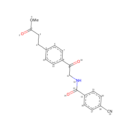 COC(=O)CCc1ccc(C(=O)CNC(=O)c2ccc(C#N)cc2)cc1